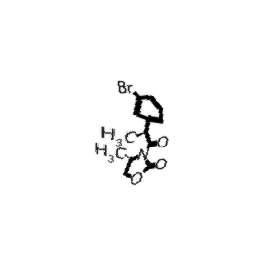 C[C@H](C(=O)N1C(=O)OC[C@@H]1C)c1cccc(Br)c1